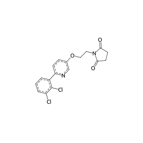 O=C1CCC(=O)N1CCOc1ccc(-c2cccc(Cl)c2Cl)nc1